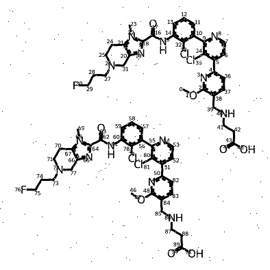 COc1nc(-c2ccnc(-c3cccc(NC(=O)c4nc5c(n4C)CCN(CCCF)C5)c3Cl)c2Cl)ccc1CNCCC(=O)O.COc1nc(-c2ccnc(-c3cccc(NC(=O)c4nc5c(n4C)CCN(CCCF)C5)c3Cl)c2Cl)ccc1CNCCC(=O)O